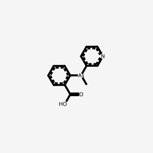 C[As](c1cccnc1)c1ccccc1C(=O)O